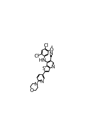 COc1cc(Nc2c(C#N)cnc3cc(-c4ccc(N5CCOCC5)nc4)sc23)c(Cl)cc1Cl